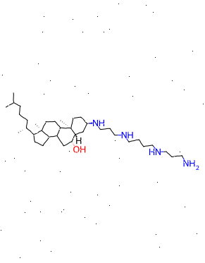 CC(C)CCC[C@@H](C)C1CCC2C3C[C@@H](O)[C@H]4C[C@H](NCCCNCCCCNCCCN)CC[C@]4(C)C3CC[C@@]21C